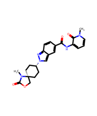 Cn1cccc(NC(=O)c2ccc3nn([C@H]4CC[C@]5(CC4)COC(=O)N5C)cc3c2)c1=O